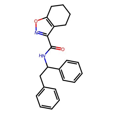 O=C(NC(Cc1ccccc1)c1ccccc1)c1noc2c1CCCC2